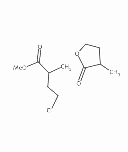 CC1CCOC1=O.COC(=O)C(C)CCCl